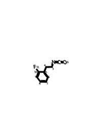 O=C=NCCc1ccccc1F